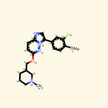 COc1ccc(-c2cnc3ccc(OCC4CCCN(C)C4)nn23)cc1F